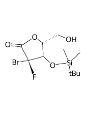 CC(C)(C)[Si](C)(C)OC1[C@@H](CO)OC(=O)[C@@]1(F)Br